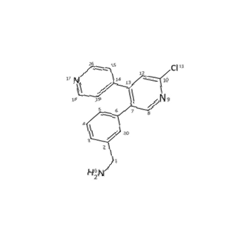 NCc1cccc(-c2cnc(Cl)cc2-c2ccncc2)c1